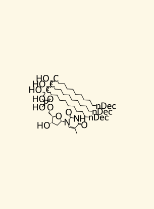 CCCCCCCCCCCCCCCCCCCC(=O)O.CCCCCCCCCCCCCCCCCCCC(=O)O.CCCCCCCCCCCCCCCCCCCC(=O)O.Cc1cn([C@H]2C[C@H](O)[C@@H](COP(=O)(O)O)O2)c(=O)[nH]c1=O